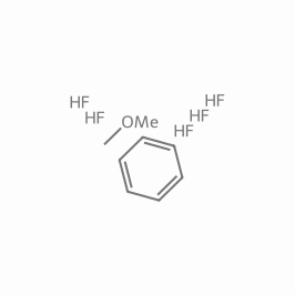 COC.F.F.F.F.F.c1ccccc1